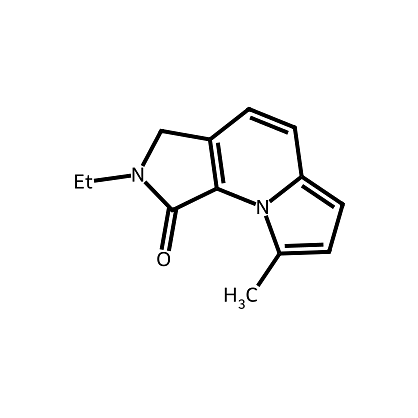 CCN1Cc2ccc3ccc(C)n3c2C1=O